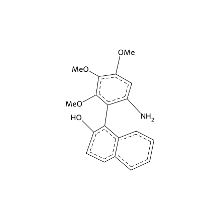 COc1cc(N)c(-c2c(O)ccc3ccccc23)c(OC)c1OC